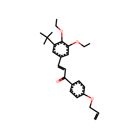 C=CCOc1ccc(C(=O)C=Cc2cc(OCC)c(OCC)c(C(C)(C)C)c2)cc1